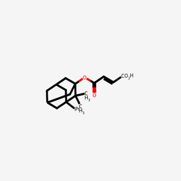 CC(C)C12CC3CC(CC(OC(=O)C=CC(=O)O)(C3)C1(C)C)C2